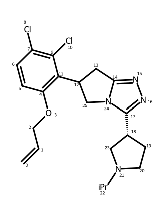 C=CCOc1ccc(Cl)c(Cl)c1C1Cc2nnc([C@@H]3CCN(C(C)C)C3)n2C1